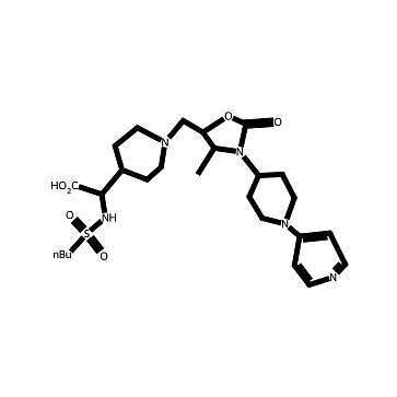 CCCCS(=O)(=O)NC(C(=O)O)C1CCN(CC2OC(=O)N(C3CCN(c4ccncc4)CC3)C2C)CC1